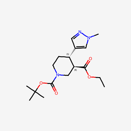 CCOC(=O)[C@H]1CN(C(=O)OC(C)(C)C)CC[C@@H]1c1cnn(C)c1